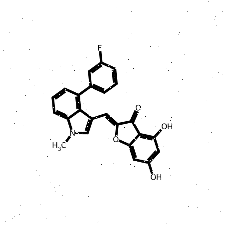 Cn1cc(/C=C2\Oc3cc(O)cc(O)c3C2=O)c2c(-c3cccc(F)c3)cccc21